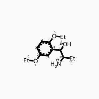 CCOc1ccc(OCC)c(C(O)C(N)CC)c1